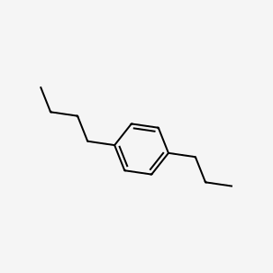 CCCCc1ccc(CCC)cc1